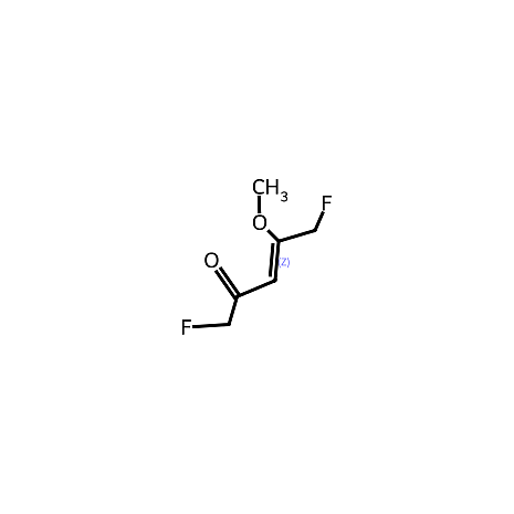 CO/C(=C\C(=O)CF)CF